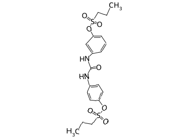 CCCS(=O)(=O)Oc1ccc(NC(=O)Nc2cccc(OS(=O)(=O)CCC)c2)cc1